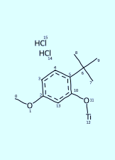 COc1ccc(C(C)(C)C)c([O][Ti])c1.Cl.Cl